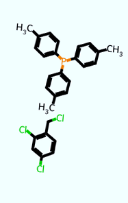 Cc1ccc(P(c2ccc(C)cc2)c2ccc(C)cc2)cc1.ClCc1ccc(Cl)cc1Cl